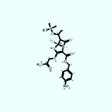 CC(O[Si](C)(C)C(C)(C)C)C1C(=O)N2C(C(=O)OCc3ccc([N+](=O)[O-])cc3)=C(SCC(N)=O)S[C@H]12